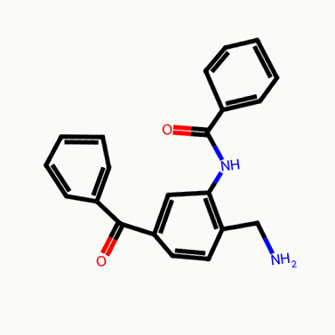 NCc1ccc(C(=O)c2ccccc2)cc1NC(=O)c1ccccc1